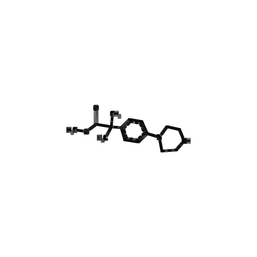 COC(=O)C(C)(C)c1ccc(N2CCNCC2)cc1